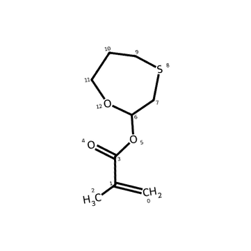 C=C(C)C(=O)OC1CSCCCO1